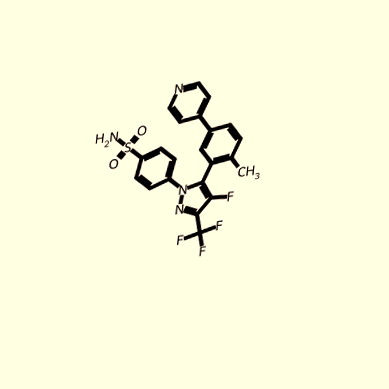 Cc1ccc(-c2ccncc2)cc1-c1c(F)c(C(F)(F)F)nn1-c1ccc(S(N)(=O)=O)cc1